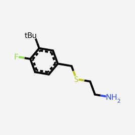 CC(C)(C)c1cc(CSCCN)ccc1F